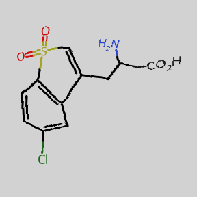 NC(CC1=CS(=O)(=O)c2ccc(Cl)cc21)C(=O)O